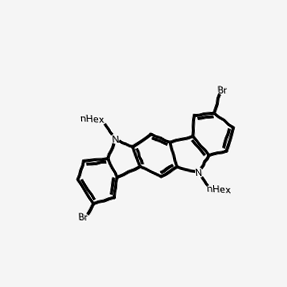 CCCCCCn1c2ccc(Br)cc2c2cc3c(cc21)c1cc(Br)ccc1n3CCCCCC